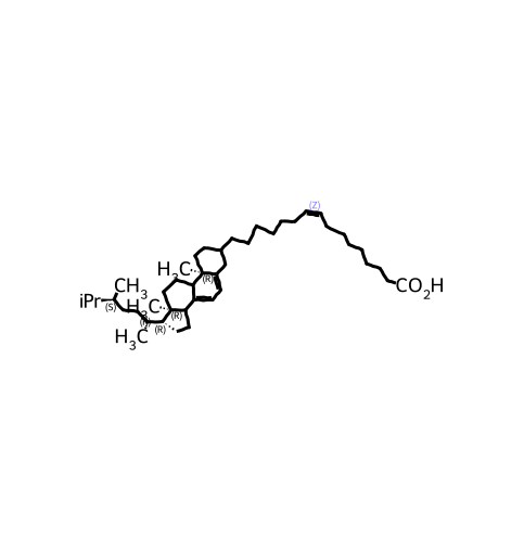 CC(C)[C@@H](C)CC[C@@H](C)[C@H]1CCC2C3=CC=C4CC(CCCCCC/C=C\CCCCCCCC(=O)O)CC[C@]4(C)C3CC[C@@]21C